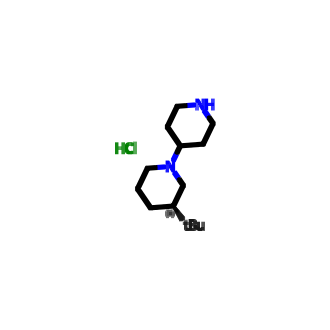 CC(C)(C)[C@H]1CCCN(C2CCNCC2)C1.Cl